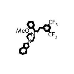 COc1ccccc1C([CH]Cc1cc(C(F)(F)F)cc(C(F)(F)F)c1)N1CCN(C2Cc3ccccc3C2)CC1